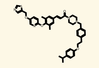 Cc1cc(C=CC(=O)N2CCN(Cc3ccc(CCOc4ccc(C(C)C)cc4)cc3)CC2)cc(C)c1Oc1ccc(OCc2cncs2)cn1